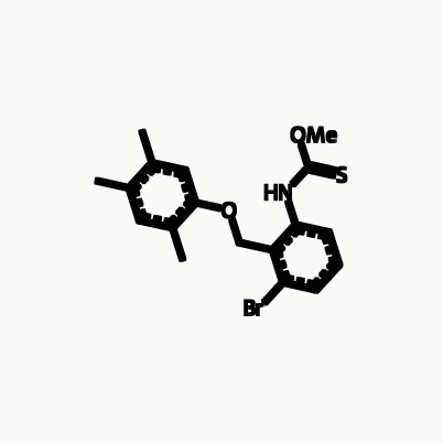 COC(=S)Nc1cccc(Br)c1COc1cc(C)c(C)cc1C